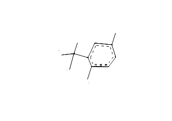 Cc1ccc(O)c(C(C)(C)O)c1